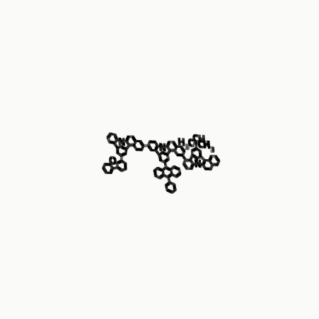 CC(C)(C)c1cc2c3c(-c4ccc5ccc6c(c5c4)c4cc(-c5c7ccccc7c(-c7ccccc7)c7ccccc57)cc5c7cc(-c8ccc9c(ccc%10c9c9cc(-c%11cccc%12c%11oc%11ccccc%11%12)cc%11c%12ccccc%12n%10c%119)c8)ccc7n6c54)cccc3n3c4ccc5ccccc5c4c(c1)c23